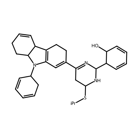 CC(C)SC1CC(C2=CC3=C(CC2)C2C=CCCC2N3C2C=CC=CC2)=NC(C2C=CC=CC2O)N1